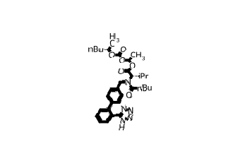 [CH2]CCC[C@H](C)OC(=O)OC(C)OC(=O)[C@H](C(C)C)N(Cc1ccc(-c2ccccc2-c2nnn[nH]2)cc1)C(=O)CCCC